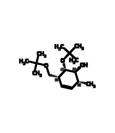 C[C@@H]1C=C[C@H](COC(C)(C)C)[C@H](OC(C)(C)C)[C@H]1O